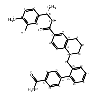 Cc1ccc([C@H](C)NC(=O)c2ccc3c(c2)CCCN3Cc2ccccc2-c2ccc(C(N)=O)cc2)cc1F